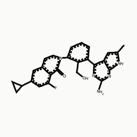 Cc1cc2c(-c3cccc(-n4ccc5cc(C6CC6)cc(F)c5c4=O)c3CO)nc(N)nc2[nH]1